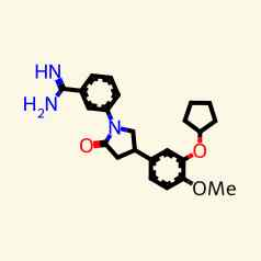 COc1ccc(C2CC(=O)N(c3cccc(C(=N)N)c3)C2)cc1OC1CCCC1